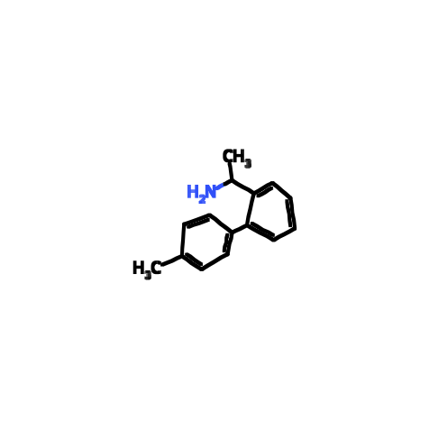 Cc1ccc(-c2ccccc2C(C)N)cc1